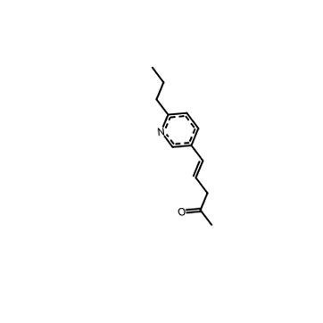 CCCc1ccc(/C=C/CC(C)=O)cn1